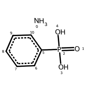 N.O=P(O)(O)c1ccccc1